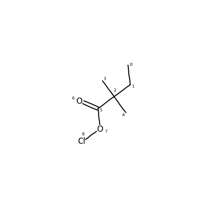 CCC(C)(C)C(=O)OCl